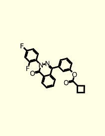 O=C(Oc1cccc(-c2nn(-c3ccc(F)cc3F)c(=O)c3ccccc23)c1)C1CCC1